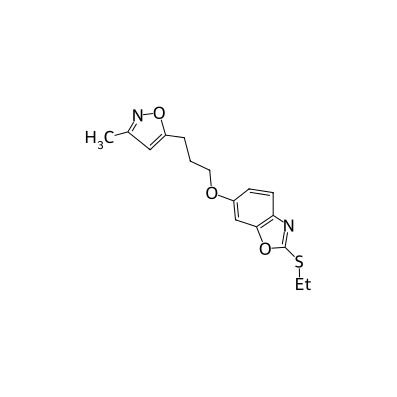 CCSc1nc2ccc(OCCCc3cc(C)no3)cc2o1